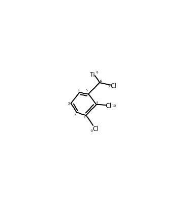 Clc1cccc([CH](Cl)[Ti])c1Cl